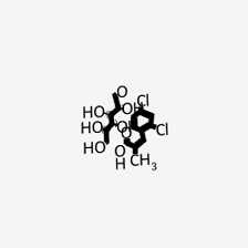 CC(=Cc1ccc(Cl)cc1Cl)C(=O)O.O=C[C@H](O)[C@@H](O)[C@@H](O)[C@H](O)CO